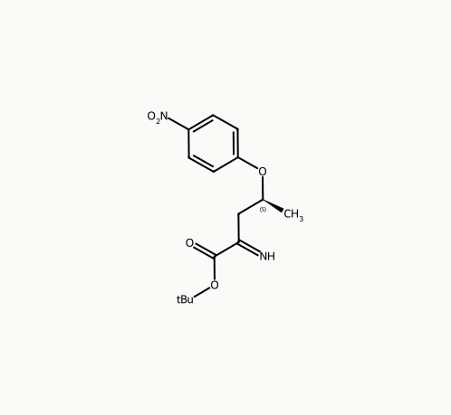 C[C@@H](CC(=N)C(=O)OC(C)(C)C)Oc1ccc([N+](=O)[O-])cc1